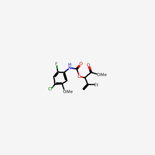 C=C(CC)C(OC(=O)Nc1cc(OC)c(Cl)cc1F)C(=O)OC